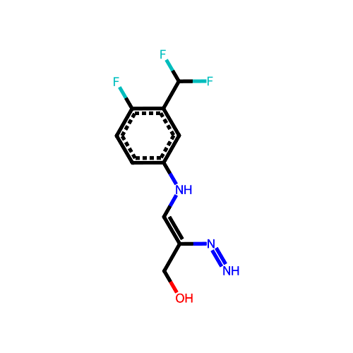 N=N/C(=C\Nc1ccc(F)c(C(F)F)c1)CO